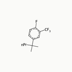 CCCC(C)(C)c1ccc(F)c(C(F)(F)F)c1